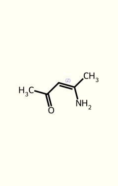 CC(=O)/C=C(/C)N